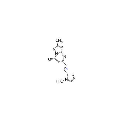 Cc1nn2c(=O)cc(/C=C/c3cccn3C)nc2s1